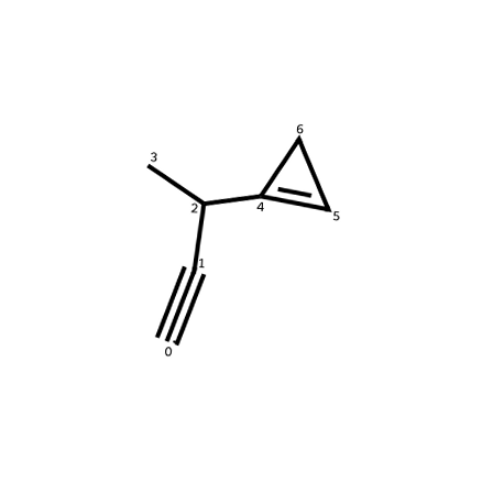 [C]#CC(C)C1=CC1